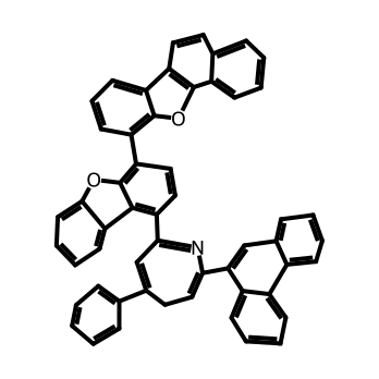 C1=C(c2ccccc2)CC=C(c2cc3ccccc3c3ccccc23)N=C1c1ccc(-c2cccc3c2oc2c4ccccc4ccc32)c2oc3ccccc3c12